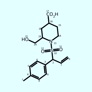 C=CC(c1ccc(C)cc1)S(=O)(=O)N1CCC(C(=O)O)CC1CO